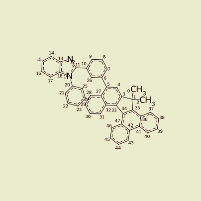 CC1(C)c2cc(-c3cccc(-c4nc5ccccc5n4-c4ccccc4)c3)c3ccccc3c2-c2c1c1ccccc1c1ccccc21